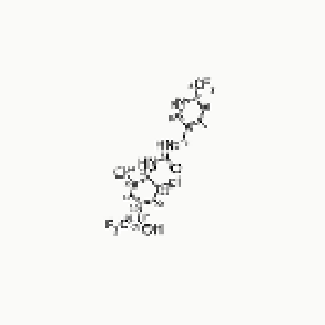 O=C(NCc1ccc(C(F)(F)F)nc1)Nc1c(Cl)cc([C@H](O)C(F)(F)F)cc1Cl